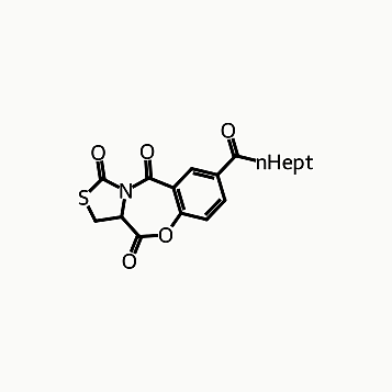 CCCCCCCC(=O)c1ccc2c(c1)C(=O)N1C(=O)SCC1C(=O)O2